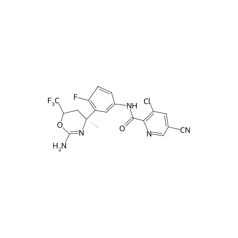 C[C@@]1(c2cc(NC(=O)c3ncc(C#N)cc3Cl)ccc2F)CC(C(F)(F)F)OC(N)=N1